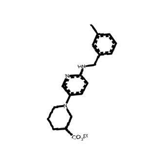 CCOC(=O)C1CCCN(c2ccc(NCc3cccc(C)c3)nc2)C1